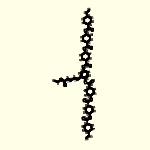 CCOC(=O)/C=C/C=C/c1cc(OC(=O)C2CCC(OC(=O)C3CCC(OC(=O)C4CCC(CC)CC4)CC3)CC2)ccc1OC(=O)C1CCC(OC(=O)[C@H]2CC[C@H](OC(=O)[C@H]3CC[C@H](CC)CC3)CC2)CC1